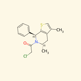 Cc1csc2c1C[C@H](C)N(C(=O)CCl)[C@H]2c1ccccc1